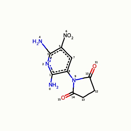 Nc1nc(N)c([N+](=O)[O-])cc1N1C(=O)CCC1=O